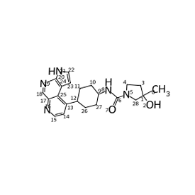 CC1(O)CCN(C(=O)NC2CCC(c3ccnc4cnc5[nH]ccc5c34)CC2)C1